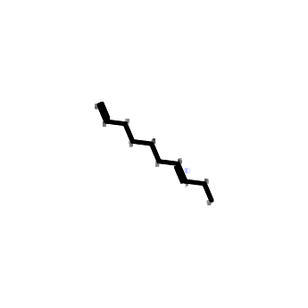 C=CCCCC/C=C/CC